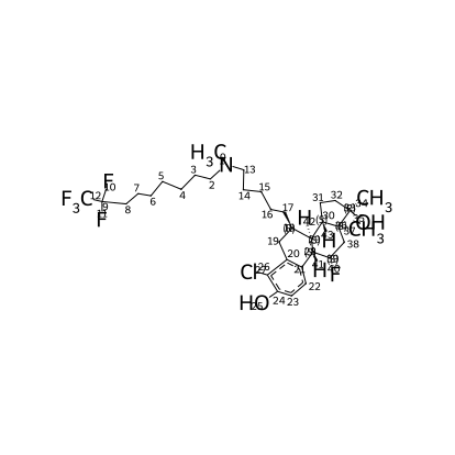 CN(CCCCCCCC(F)(F)C(F)(F)F)CCCCC[C@@H]1Cc2c(ccc(O)c2Cl)[C@@H]2[C@@H]1[C@@H]1CC[C@@](C)(O)[C@@]1(C)C[C@@H]2F